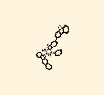 c1ccc(C2=NC(n3c4ccccc4c4cc5ccccc5cc43)Nc3sc4cc(-c5ccc6oc7ccccc7c6c5)ccc4c32)cc1